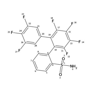 NS(=O)(=O)c1ccccc1-c1c(F)c(F)c(F)c(F)c1-c1cc(F)c(F)c(F)c1